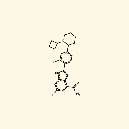 NC(=O)c1cc(F)cc2[nH]c(-c3ccc(C4CCCCN4C4CCC4)cc3F)nc12